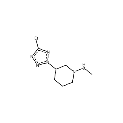 CBN1CCCC(n2nnc(CC)n2)C1